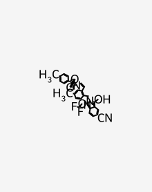 Cc1ccc(S(=O)(=O)n2ccc3c(Cn4nc5ccc(C#N)cc5c4O)c(OC(F)F)cc(C)c32)cc1